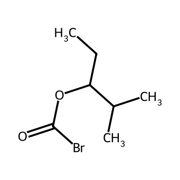 CCC(OC(=O)Br)C(C)C